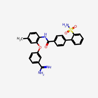 Cc1ccc(NC(=O)c2ccc(-c3ccccc3S(N)(=O)=O)cc2)c(Oc2cccc(C(=N)N)c2)c1